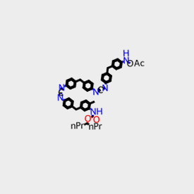 CCCC(CCC)OC(=O)Nc1cc(Cc2ccc(N=C=Nc3ccc(Cc4ccc(N=C=Nc5ccc(Cc6ccc(NOC(C)=O)cc6)cc5)cc4)cc3)cc2)ccc1C